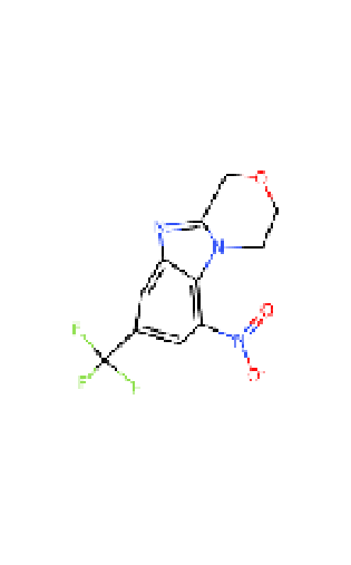 O=[N+]([O-])c1cc(C(F)(F)F)cc2nc3n(c12)CCOC3